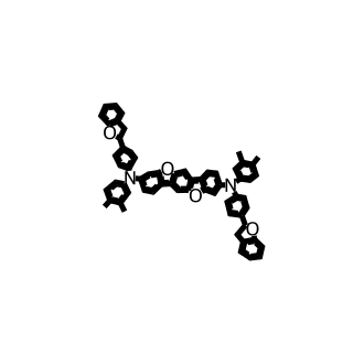 Cc1ccc(N(c2ccc(C3Cc4ccccc4O3)cc2)c2ccc3c(c2)oc2cc4c(cc23)oc2cc(N(c3ccc(C5Cc6ccccc6O5)cc3)c3ccc(C)c(C)c3)ccc24)cc1C